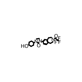 O=C1N(c2ccc3c(c2)CCN(C(=O)C(F)(F)F)CC3)CCN1C1CCC(O)CC1